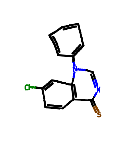 S=c1ncn(-c2ccccc2)c2cc(Cl)ccc12